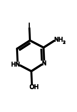 NC1=NC(O)NC=C1I